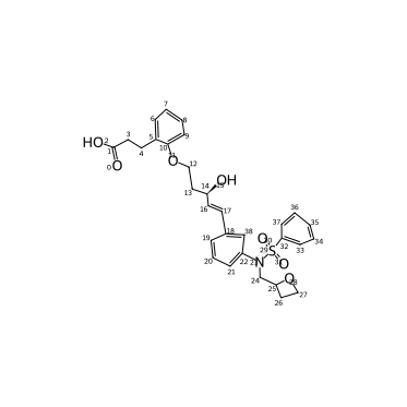 O=C(O)CCc1ccccc1OCC[C@@H](O)/C=C/c1cccc(N(CC2CCO2)S(=O)(=O)c2ccccc2)c1